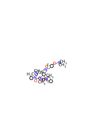 Cc1c(N(C(=O)c2cc(-c3cc4c(cc3C(=O)N3Cc5ccccc5C[C@H]3C)CN(C(=O)Cc3ccc(OCCN(C)C)cc3F)CC4)n(C)c2C)c2ccccc2)cc(C#N)n1C